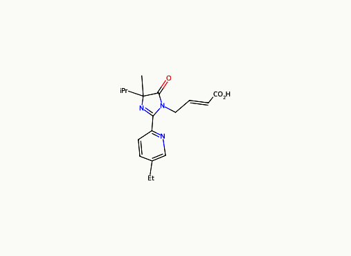 CCc1ccc(C2=NC(C)(C(C)C)C(=O)N2C/C=C/C(=O)O)nc1